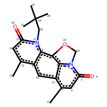 Cc1cc(=O)n2c3c(c4c(cc13)c(C)cc(=O)n4CC(C)(C)C)OC2